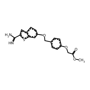 COC(=O)COc1ccc(COc2ccc3cc(C(=N)N)sc3c2)cc1